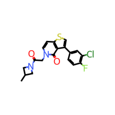 CC1CN(C(=O)Cn2ccc3scc(-c4ccc(F)c(Cl)c4)c3c2=O)C1